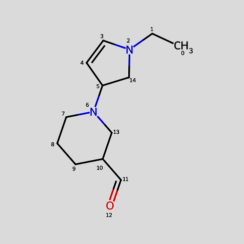 CCN1C=CC(N2CCCC(C=O)C2)C1